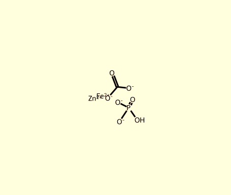 O=C([O-])[O-].O=P([O-])([O-])O.[Fe+2].[Zn+2]